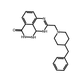 O=C1NNC2NC(CN3CCC(Cc4ccccc4)CC3)=Nc3cccc1c32